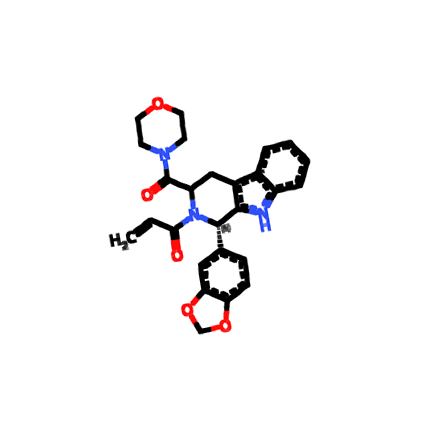 C=CC(=O)N1C(C(=O)N2CCOCC2)Cc2c([nH]c3ccccc23)[C@@H]1c1ccc2c(c1)OCO2